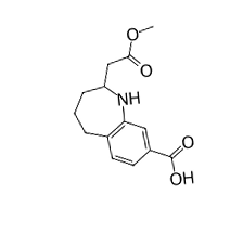 COC(=O)CC1CCCc2ccc(C(=O)O)cc2N1